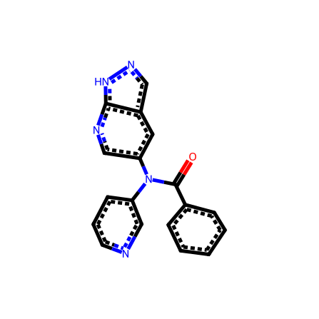 O=C(c1ccccc1)N(c1cccnc1)c1cnc2[nH]ncc2c1